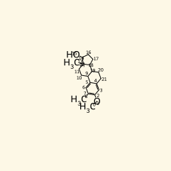 COc1cc2c(cc1C)C1CC[C@]3(C)C(O)CCC3C1CC2